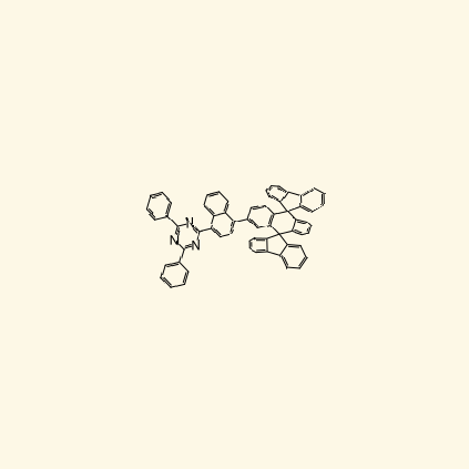 c1ccc(-c2nc(-c3ccccc3)nc(-c3ccc(-c4ccc5c(c4)C4(c6ccccc6-c6ccccc64)c4ccccc4C54c5ccccc5-c5ccccc54)c4ccccc34)n2)cc1